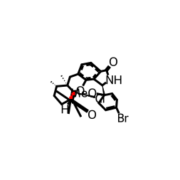 COC1([C@@H]2NC(=O)c3ccc4c(c32)O[C@@]23C[C@@H](Cl)C(=O)C(C)(C)[C@@H]2CC[C@H](C)[C@@]3(C)C4)C=CC(Br)=CC1